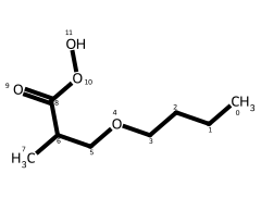 CCCCOCC(C)C(=O)OO